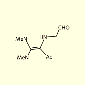 CNC(NC)=C(NCC=O)C(C)=O